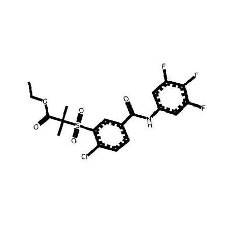 CCOC(=O)C(C)(C)S(=O)(=O)c1cc(C(=O)Nc2cc(F)c(F)c(F)c2)ccc1Cl